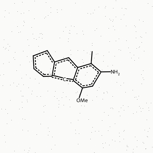 COc1cc(N)c(C)c2cc3ccccc3cc12